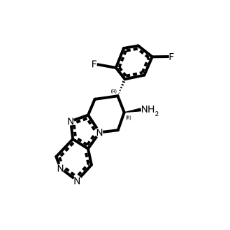 N[C@H]1Cn2c(nc3cnncc32)C[C@@H]1c1cc(F)ccc1F